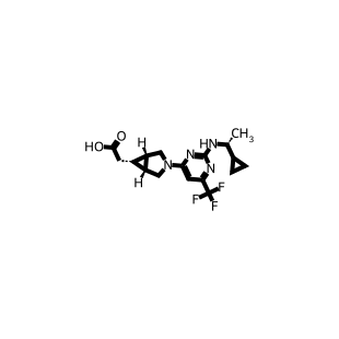 C[C@@H](Nc1nc(N2C[C@@H]3[C@H](CC(=O)O)[C@@H]3C2)cc(C(F)(F)F)n1)C1CC1